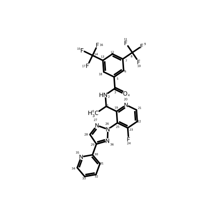 CC(NC(=O)c1cc(C(F)(F)F)cc(C(F)(F)F)c1)c1nccc(F)c1-n1ncc(-c2ccccn2)n1